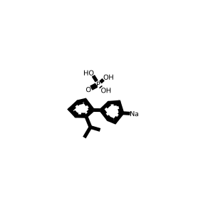 CC(C)c1ccccc1-c1cc[c]([Na])cc1.O=P(O)(O)O